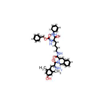 Cc1cc(O)cc(C)c1CC(N)C(=O)N1Cc2ccccc2CC1C(=O)NCCCCC(NC(=O)OCc1ccccc1)C(=O)NC1C=CC=CC1